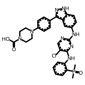 CP(C)(=O)c1ccccc1Nc1nc(Nc2ccc3[nH]nc(-c4ccc(N5CCN(C(=O)O)CC5)cc4)c3c2)ncc1Cl